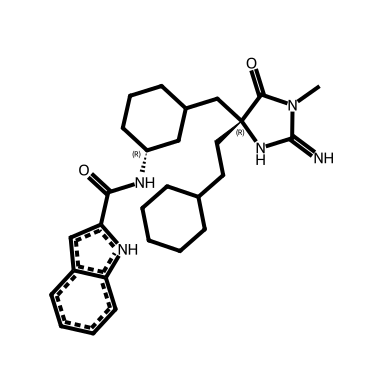 CN1C(=N)N[C@](CCC2CCCCC2)(CC2CCC[C@@H](NC(=O)c3cc4ccccc4[nH]3)C2)C1=O